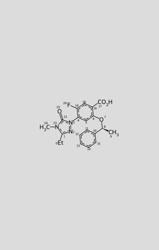 CCc1nn(-c2cc(O[C@@H](C)c3ccccc3)c(C(=O)O)cc2F)c(=O)n1C